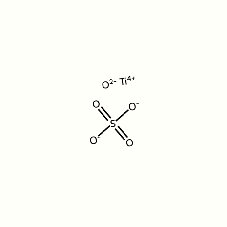 O=S(=O)([O-])[O-].[O-2].[Ti+4]